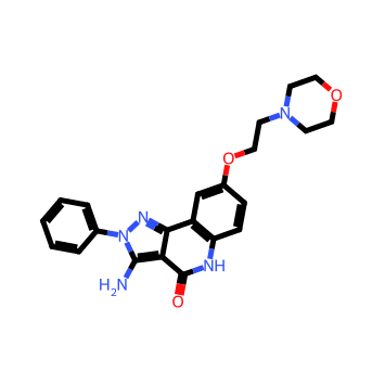 Nc1c2c(=O)[nH]c3ccc(OCCN4CCOCC4)cc3c2nn1-c1ccccc1